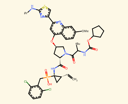 C=C[C@@H]1C[C@]1(NC(=O)[C@@H]1C[C@@H](Oc2cc(-c3csc(NC(C)C)n3)nc3cc(OC)ccc23)CN1C(=O)C(NC(=O)OC1CCCC1)C(C)(C)C)P(=O)(O)Cc1c(Cl)cccc1Cl